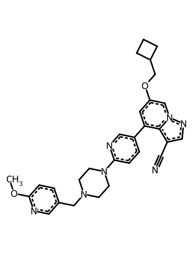 COc1ccc(CN2CCN(c3ccc(-c4cc(OCC5CCC5)cn5ncc(C#N)c45)cn3)CC2)cn1